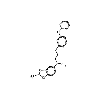 CC1Oc2ccc(C(CCCc3cccc(Oc4ccccc4)c3)C(F)(F)F)cc2O1